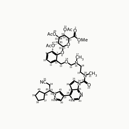 COC(=O)[C@H]1O[C@@H](Oc2ccccc2COCN(C)CCN(C)C(=O)n2ccc3c(-c4cnn([C@H](CC#N)C5CCCC5)c4)ncnc32)[C@H](OC(C)=O)[C@@H](OC(C)=O)[C@@H]1OC(C)=O